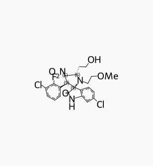 COCCN1[C@@H](CCO)[C@@H]([N+](=O)[O-])[C@H](c2cccc(Cl)c2F)[C@]12C(=O)Nc1cc(Cl)ccc12